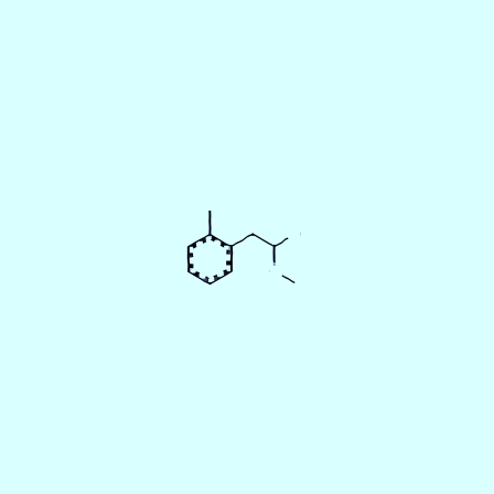 COC([O])Cc1ccccc1C